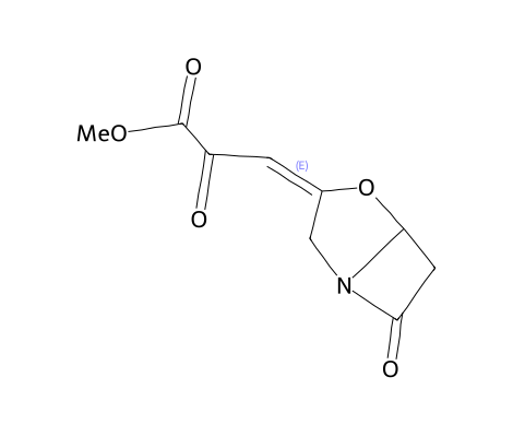 COC(=O)C(=O)/C=C1\CN2C(=O)CC2O1